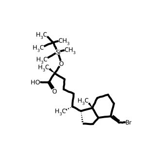 C[C@H](CCC[C@@](C)(O[Si](C)(C)C(C)(C)C)C(=O)O)[C@H]1CCC2C(=CBr)CCC[C@]21C